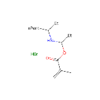 Br.C=C(C)C(=O)OC(CC)NC(CC)CCCCC